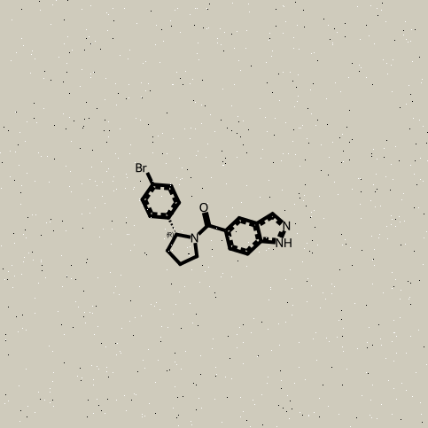 O=C(c1ccc2[nH]ncc2c1)N1CCC[C@@H]1c1ccc(Br)cc1